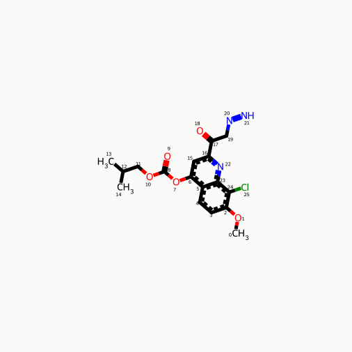 COc1ccc2c(OC(=O)OCC(C)C)cc(C(=O)CN=N)nc2c1Cl